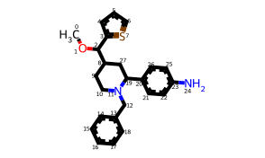 COC(c1cccs1)C1CCN(Cc2ccccc2)C(c2ccc(N)cc2)C1